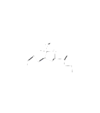 C/C=C\C=C1\C=C(C(=O)OCC)NC1(C)N=O